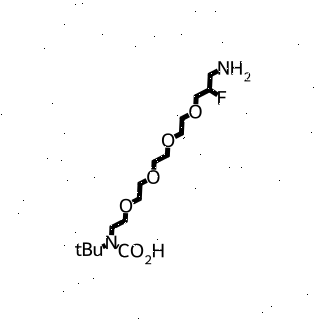 CC(C)(C)N(CCOCCOCCOCCOCC(F)CN)C(=O)O